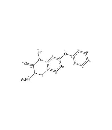 CC(=O)NC(Cc1ccc(Oc2ccccc2)cc1)C(=O)OC(C)C